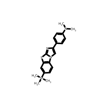 CN(C)c1ccc(-c2cn3c(n2)sc2c[c]([Sn]([CH3])([CH3])[CH3])ccc23)cc1